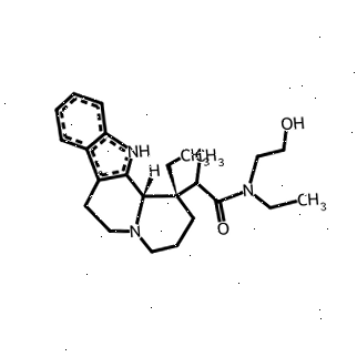 CCN(CCO)C(=O)C(C)[C@]1(CC)CCCN2CCc3c([nH]c4ccccc34)[C@@H]21